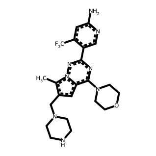 Cc1c(CN2CCNCC2)cc2c(N3CCOCC3)nc(-c3cnc(N)cc3C(F)(F)F)nn12